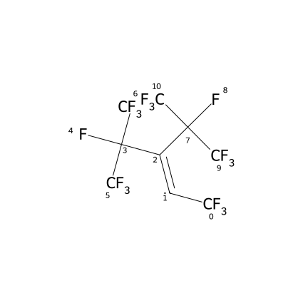 FC(F)(F)[C]=C(C(F)(C(F)(F)F)C(F)(F)F)C(F)(C(F)(F)F)C(F)(F)F